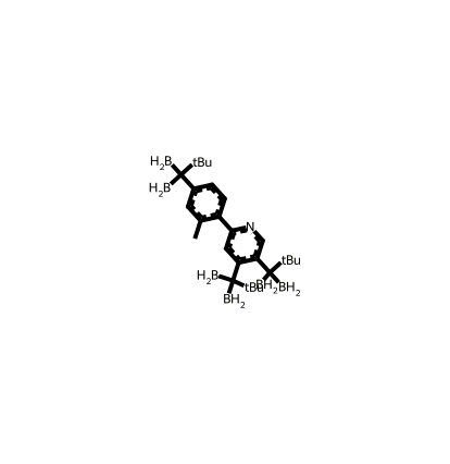 BC(B)(c1ccc(-c2cc(C(B)(B)C(C)(C)C)c(C(B)(B)C(C)(C)C)cn2)c(C)c1)C(C)(C)C